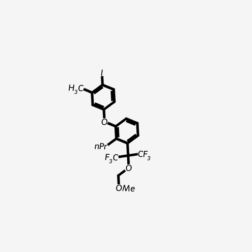 CCCc1c(Oc2ccc(I)c(C)c2)cccc1C(OCOC)(C(F)(F)F)C(F)(F)F